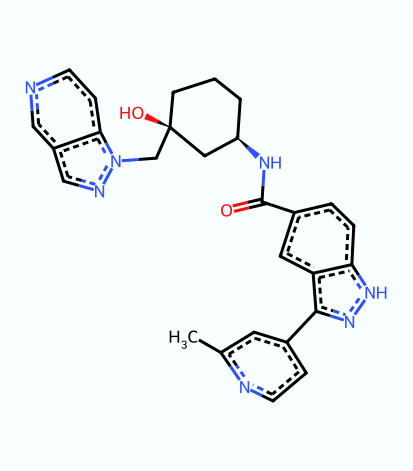 Cc1cc(-c2n[nH]c3ccc(C(=O)N[C@@H]4CCC[C@@](O)(Cn5ncc6cnccc65)C4)cc23)ccn1